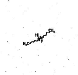 CCCCCCN1CCN(CCCCCC)C1F.I